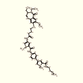 CCC1C=Nc2cc(OCCCC(=O)Nc3cc(C(=O)Nc4ccc(-c5cc(C(=O)NCCNC)n(C)c5)cc4)n(C)c3)c(OC)cc2C(=O)N1CC